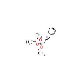 CCO[Si](C/C=C/c1ccccc1)(OCC)OCC